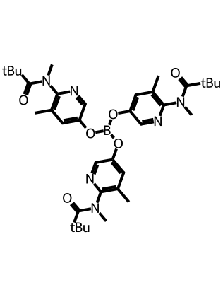 Cc1cc(OB(Oc2cnc(N(C)C(=O)C(C)(C)C)c(C)c2)Oc2cnc(N(C)C(=O)C(C)(C)C)c(C)c2)cnc1N(C)C(=O)C(C)(C)C